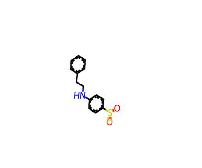 O=[SH](=O)c1ccc(NCCc2ccccc2)cc1